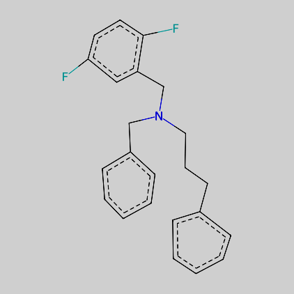 Fc1ccc(F)c(CN(CCCc2ccccc2)Cc2ccccc2)c1